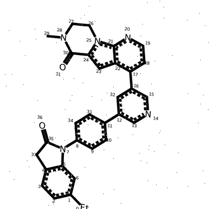 CCc1ccc2c(c1)N(c1ccc(-c3cncc(-c4ccnc5c4cc4n5CCN(C)C4=O)c3)cc1)C(=O)C2